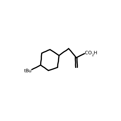 C=C(CC1CCC(C(C)(C)C)CC1)C(=O)O